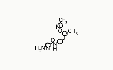 Cc1cc(C=C2CCC(NC(=O)c3ccc(N)nc3)CC2)cc(Oc2ccc(C(F)(F)F)cn2)c1